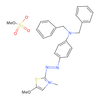 COS(=O)(=O)[O-].COc1c[n+](C)c(N=Nc2ccc(N(Cc3ccccc3)Cc3ccccc3)cc2)s1